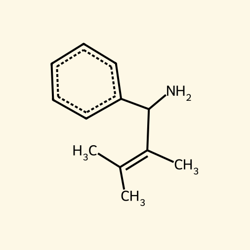 CC(C)=C(C)C(N)c1ccccc1